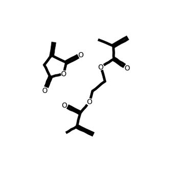 C=C(C)C(=O)OCCOC(=O)C(=C)C.C=C1CC(=O)OC1=O